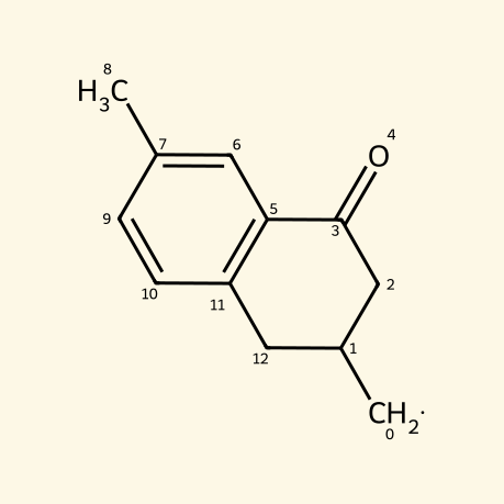 [CH2]C1CC(=O)c2cc(C)ccc2C1